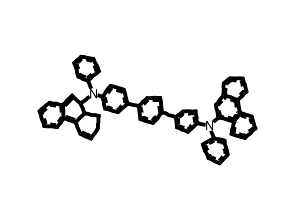 C1=CC2=c3ccccc3=CC(N(c3ccccc3)c3ccc(-c4ccc(-c5ccc(N(c6ccccc6)c6cc7ccccc7c7ccccc67)cc5)cc4)cc3)C2CC1